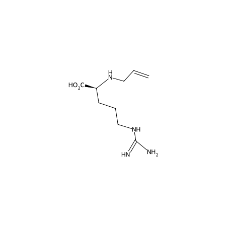 C=CCN[C@@H](CCCNC(=N)N)C(=O)O